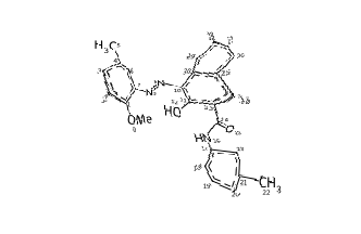 COc1ccc(C)cc1/N=N/c1c(O)c(C(=O)Nc2cccc(C)c2)cc2ccccc12